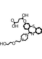 O=C(O)CCC(=O)O.OCCOCCN1CCN(C2=Nc3ccccc3Sc3ccccc32)CC1